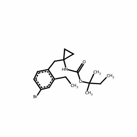 CCc1cc(Br)ccc1CC1(NC(=O)OC(C)(C)CC)CC1